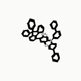 Cc1cc(N(c2ccc(-c3ccccc3)cc2)c2cccc(-c3ccccc3)c2)c(C)cc1-c1cccc2c1-c1ccccc1C2(c1ccccc1)c1ccccc1